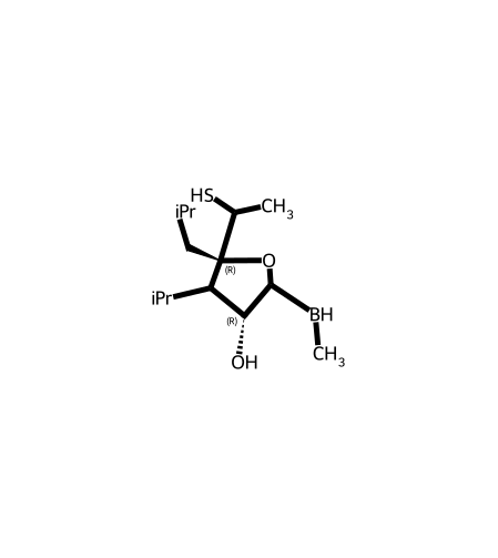 CBC1O[C@@](CC(C)C)(C(C)S)C(C(C)C)[C@H]1O